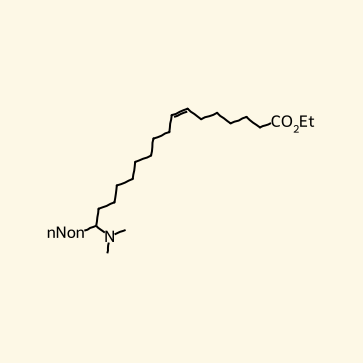 CCCCCCCCCC(CCCCCCCC/C=C\CCCCCC(=O)OCC)N(C)C